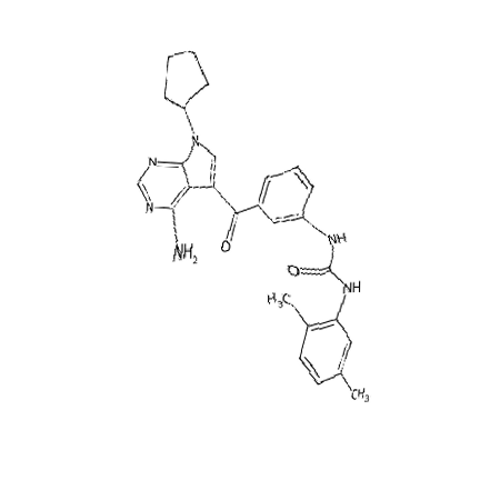 Cc1ccc(C)c(NC(=O)Nc2cccc(C(=O)c3cn(C4CCCC4)c4ncnc(N)c34)c2)c1